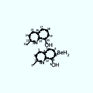 Cc1ccc2cccc(O)c2n1.Cc1ccc2cccc(O)c2n1.[BeH2]